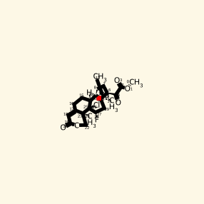 COC(=O)C(=O)[C@@]12CC[C@@]3(OC(C)O1)[C@@H]1CCC4=CC(=O)CC[C@]4(C)[C@@]1(Cl)[C@@H](F)C[C@]23C